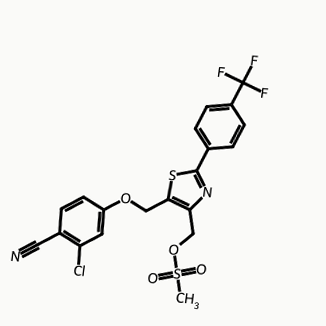 CS(=O)(=O)OCc1nc(-c2ccc(C(F)(F)F)cc2)sc1COc1ccc(C#N)c(Cl)c1